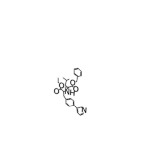 CCOC(=O)C(Cc1ccc(-c2cccnc2)cc1)N[C@@H](CC(C)C)C(=O)OCc1ccccc1